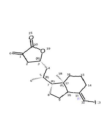 C=C1C[C@@H](C[C@@H](C)[C@H]2CCC3/C(=C/I)CCC[C@@]32C)OC1=O